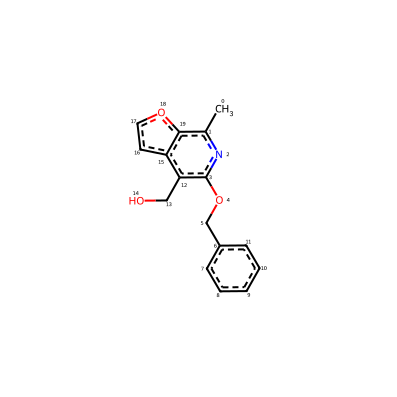 Cc1nc(OCc2ccccc2)c(CO)c2ccoc12